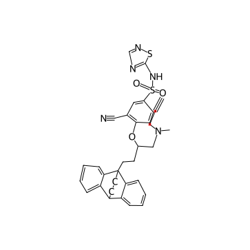 C#CCN(C)CC(CCC12CCC(c3ccccc31)c1ccccc12)Oc1ccc(S(=O)(=O)Nc2ncns2)cc1C#N